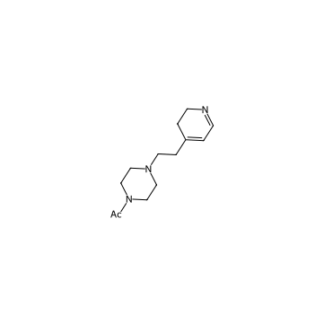 CC(=O)N1CCN(CCC2=CC=NCC2)CC1